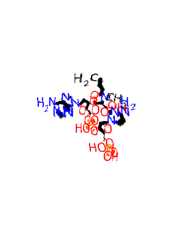 C=CCCC(=O)N(C)[C@@H](CO)C(=O)OC1C[C@H](n2cnc3c(N)ncnc32)O[C@@H]1COP(=O)(O)OC1C[C@H](n2ccc(N)nc2=O)O[C@@H]1COP(=O)(O)O